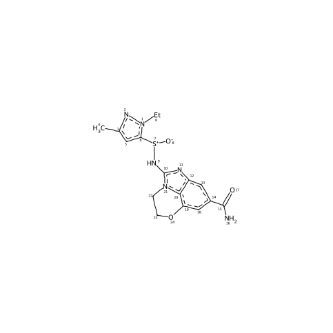 CCn1nc(C)cc1[S+]([O-])Nc1nc2cc(C(N)=O)cc3c2n1CCO3